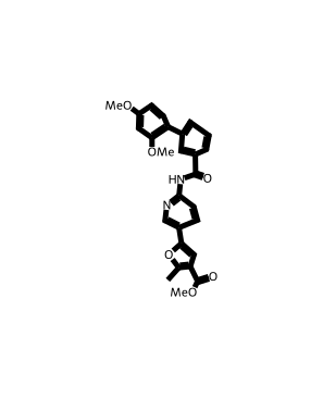 COC(=O)c1cc(-c2ccc(NC(=O)c3cccc(-c4ccc(OC)cc4OC)c3)nc2)oc1C